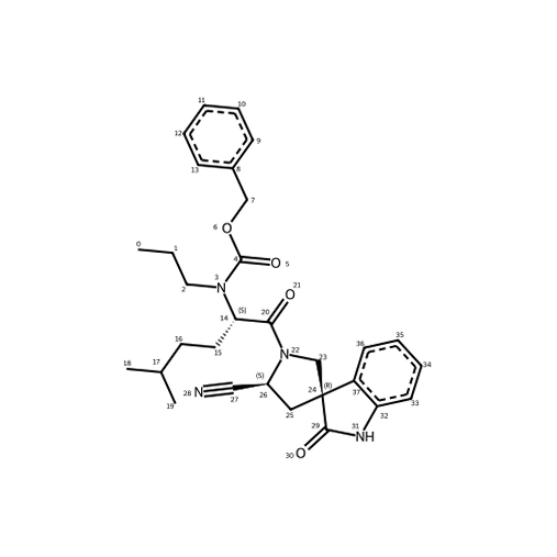 CCCN(C(=O)OCc1ccccc1)[C@@H](CCC(C)C)C(=O)N1C[C@]2(C[C@H]1C#N)C(=O)Nc1ccccc12